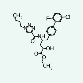 C=CCCn1cc(C(=O)N[C@H](Cc2ccc(-c3cc(Cl)ccc3F)cc2)C[C@@H](O)C(=O)OCC)nn1